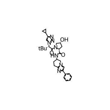 CC(C)(C)[C@@H](C(=O)N1C[C@H](O)C[C@H]1C(=O)NC1CCc2nc(-c3ccccc3)cn2C1)n1cc(C2CC2)nn1